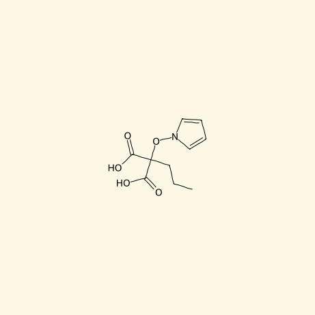 CCCC(On1cccc1)(C(=O)O)C(=O)O